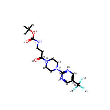 CC(C)(C)OC(=O)NCCC(=O)N1CCN(c2ncc(C(F)(F)F)cn2)CC1